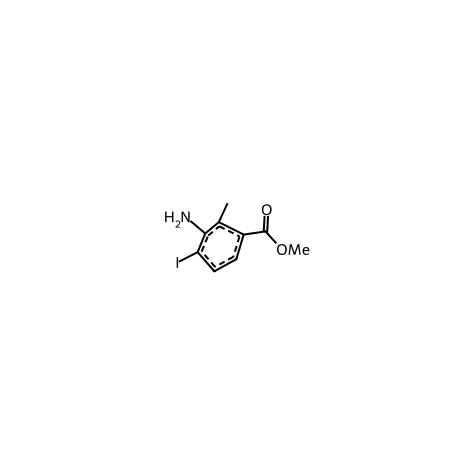 COC(=O)c1ccc(I)c(N)c1C